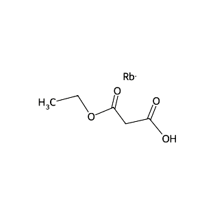 CCOC(=O)CC(=O)O.[Rb]